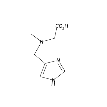 CN(CC(=O)O)Cc1c[nH]cn1